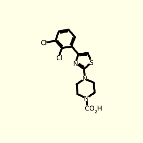 O=C(O)N1CCN(c2nc(-c3cccc(Cl)c3Cl)cs2)CC1